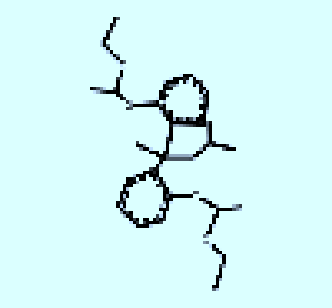 CCOC(C)Oc1ccccc1C(C)(CC(C)C)c1ccccc1OC(C)OCC